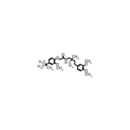 COc1ccc(CCC(C)(C)CNC(=O)COc2ccc(C(C)(C)C)cc2OC)cc1OC